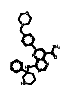 NC(=O)c1cc(-c2ccc(CN3CCOCC3)cc2)nc2c(NC3(c4ccccc4)CCCNC3)ncnc12